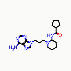 Nc1ncnc2c1ncn2CCCN1CCCCC1NC(=O)C1CCCC1